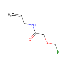 C=CCNC(=O)COCF